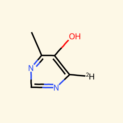 [2H]c1ncnc(C)c1O